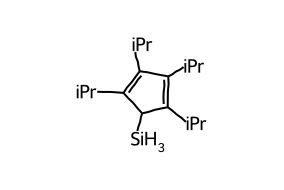 CC(C)C1=C(C(C)C)C([SiH3])C(C(C)C)=C1C(C)C